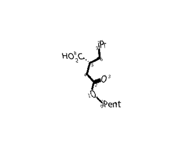 CCCC(C)OC(=O)C[C@@H](CC(C)C)C(=O)O